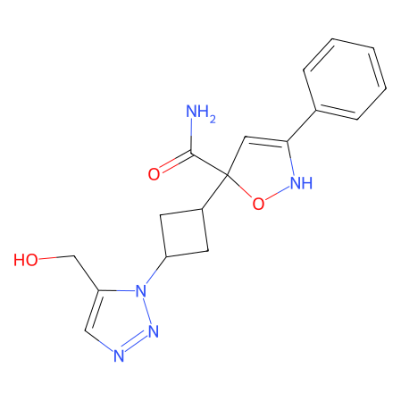 NC(=O)C1(C2CC(n3nncc3CO)C2)C=C(c2ccccc2)NO1